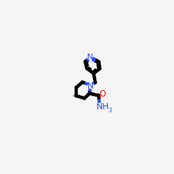 NC(=O)C1C[CH]CCN1Cc1ccncc1